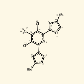 CC(C)(C)c1coc(-c2nc(-c3nc(C(C)(C)C)co3)c(Cl)c(C(F)(F)F)c2Cl)n1.[Co]